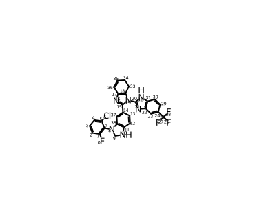 Fc1cccc(Cl)c1N1CNc2ccc(-c3nc4c(n3-c3nc5cc(C(F)(F)F)ccc5[nH]3)CCC=C4)cc21